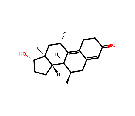 C[C@@H]1CC2=CC(=O)CCC2=C2[C@@H]1[C@@H]1CC[C@H](O)[C@@]1(C)C[C@@H]2C